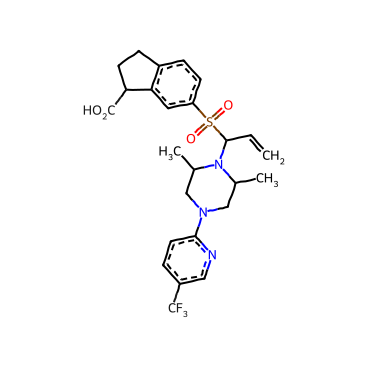 C=CC(N1C(C)CN(c2ccc(C(F)(F)F)cn2)CC1C)S(=O)(=O)c1ccc2c(c1)C(C(=O)O)CC2